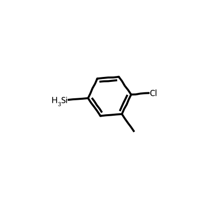 Cc1cc([SiH3])ccc1Cl